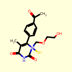 CC(=O)c1ccc(C2=C(C)C(=O)NC(=O)[N+]2(S)COCCO)cc1